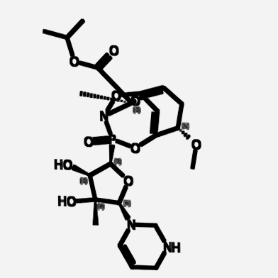 CO[C@H]1CC2=C3C=C1OP(=O)([C@H]1O[C@@H](N4C=CCNC4)[C@](C)(O)[C@H]1O)N(O3)[C@@](C)(C(=O)OC(C)C)O2